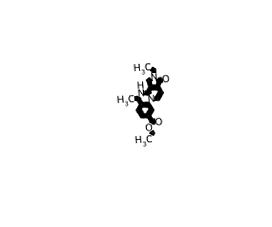 CCOC(=O)c1ccc(C(C)Nc2nccc3c2CN(CC)C3=O)cc1